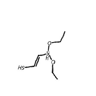 CCO[SiH](C=CS)OCC